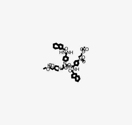 CCOC(=O)CC1(O)CCN(CC2CN(c3ccc(C(=N)NC(=O)c4ccc5ccccc5c4)cc3)C(=O)O2)CC1.CS(=O)(=O)OCC1CN(c2ccc(C(=N)NC(=O)c3ccc4ccccc4c3)cc2)C(=O)O1